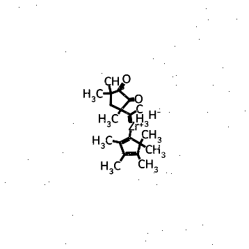 CC1=C(C)C(C)(C)[C](/[Zr+]=[C](\C)C2(C)CC(C)(C)C(=O)C2=O)=C1C.[H-]